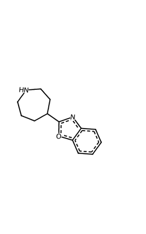 c1ccc2oc(C3CCCNCC3)nc2c1